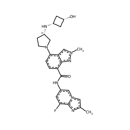 Cc1cn2cc(NC(=O)c3ccc(N4CC[C@H](N[C@H]5C[C@@H](O)C5)C4)c4cn(C)nc34)cc(F)c2n1